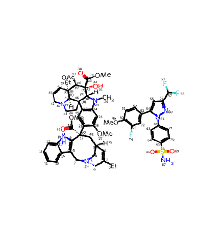 CCC1=C[C@@H]2C[N@](C1)Cc1c([nH]c3ccccc13)[C@@](C(=O)OC)(c1cc3c(cc1OC)N(C)[C@H]1[C@@](O)(C(=O)OC)[C@H](OC(C)=O)[C@]4(CC)C=CCN5CC[C@]31[C@@H]54)C2.COc1ccc(-c2cc(C(F)F)nn2-c2ccc(S(N)(=O)=O)cc2)cc1F